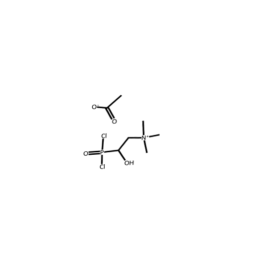 CC(=O)[O-].C[N+](C)(C)CC(O)P(=O)(Cl)Cl